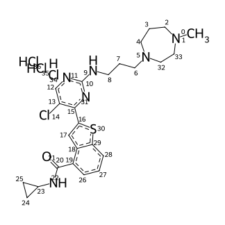 CN1CCCN(CCCNc2ncc(Cl)c(-c3cc4c(C(=O)NC5CC5)cccc4s3)n2)CC1.Cl.Cl.Cl